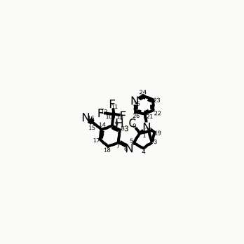 CC12CC(CC1N=C1C=C(C(F)(F)F)C(C#N)=CC1)CN2c1cccnc1